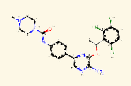 CC(Oc1nc(-c2ccc(NC(=O)N3CCN(C)CC3)cc2)cnc1N)c1c(Cl)ccc(F)c1Cl